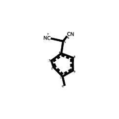 Cc1ccc(C(C#N)C#N)cc1